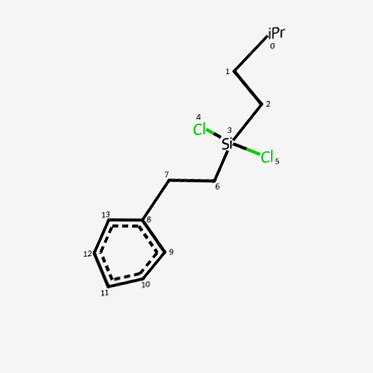 CC(C)CC[Si](Cl)(Cl)CCc1ccccc1